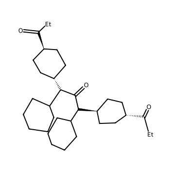 CCC(=O)[C@H]1CC[C@H](C(C(=O)C(C2CCCCC2)[C@H]2CC[C@H](C(=O)CC)CC2)C2CCCCC2)CC1